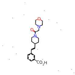 O=C(O)c1cccc(C=CC2CCN(C(=O)CN3CCOCC3)CC2)c1